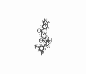 O=C(c1ccn2cncc2c1)N1CCC2(CC1)O[C@@H]1CC[C@@H](c3cc(F)cc(F)c3)N1C2=O